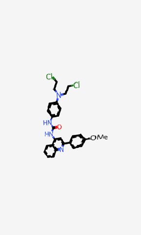 COc1ccc(-c2cc(NC(=O)Nc3ccc(N(CCCl)CCCl)cc3)c3ccccc3n2)cc1